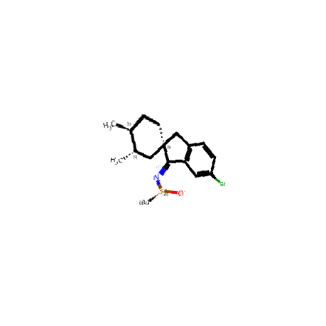 C[C@H]1CC[C@@]2(Cc3ccc(Br)cc3/C2=N\[S@@+]([O-])C(C)(C)C)C[C@@H]1C